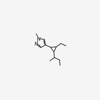 CCC(C)C1C(CC)C1c1cnn(C)c1